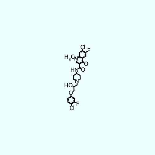 Cn1cc(C(=O)NC2CCN(CC(O)COc3ccc(Cl)c(F)c3)CC2)c(=O)c2cc(F)c(Cl)cc21